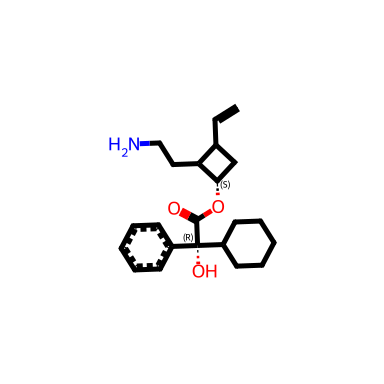 C=CC1C[C@H](OC(=O)[C@](O)(c2ccccc2)C2CCCCC2)C1CCN